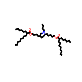 CCCCCCCCC(CCCCCC)C(=O)OCCCCCC1CCC(CCCCOC(=O)C(CCCCCC)CCCCCCCC)CN1CCCC